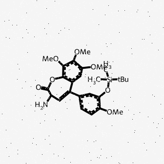 COc1ccc(C2=CC(N)C(=O)Oc3c2cc(OC)c(OC)c3OC)cc1O[Si](C)(C)C(C)(C)C